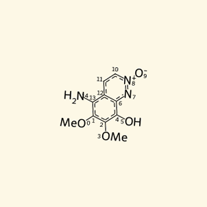 COc1c(OC)c(O)c2n[n+]([O-])ccc2c1N